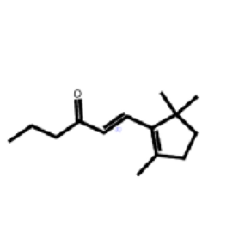 CCCC(=O)/C=C/C1=C(C)CCC1(C)C